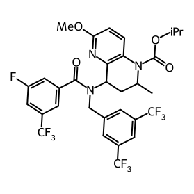 COc1ccc2c(n1)C(N(Cc1cc(C(F)(F)F)cc(C(F)(F)F)c1)C(=O)c1cc(F)cc(C(F)(F)F)c1)CC(C)N2C(=O)OC(C)C